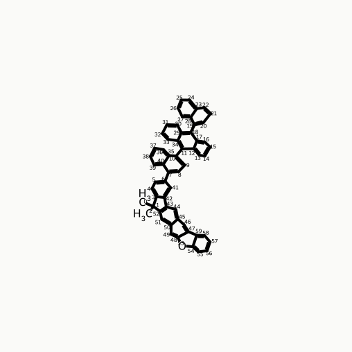 CC1(C)c2ccc(-c3ccc(-c4c5ccccc5c(-c5cccc6ccccc56)c5ccccc45)c4ccccc34)cc2-c2cc3cc4c(cc3cc21)oc1ccccc14